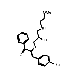 CCCCc1ccc(CC(OCC(O)CNCCOC)C(=O)c2ccccc2)cc1